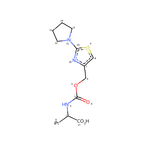 CC(C)C(NC(=O)OCc1csc(N2CCCC2)n1)C(=O)O